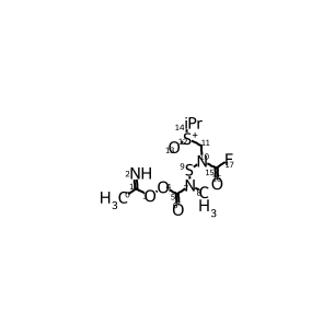 CC(=N)OOC(=O)N(C)SN(C[S+]([O-])C(C)C)C(=O)F